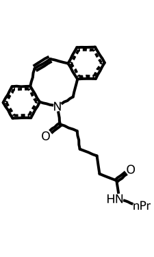 CCCNC(=O)CCCCC(=O)N1Cc2ccccc2C#Cc2ccccc21